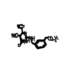 N#Cc1c(-c2cccs2)nc(NCc2cccc(CC(=O)O)c2)[nH]c1=O